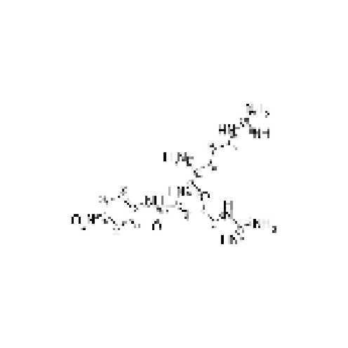 N=C(N)NCCC[C@H](NC(=O)[C@@H](N)CCCNC(=N)N)C(=O)Nc1ccc([N+](=O)[O-])cc1